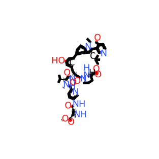 CCn1c(-c2cnccc2COC)c2c3cc(ccc31)-c1cc(O)cc(c1)C[C@H](NC(=O)[C@H](C(C)C)N(C)C(=O)c1ccc(NC(=O)[C@H]3N[C@H]3C(=O)OC)cn1)C(=O)N1CCC[C@H](N1)C(=O)OCC(C)(C)C2